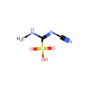 CNC(=NC#N)S(=O)(=O)O